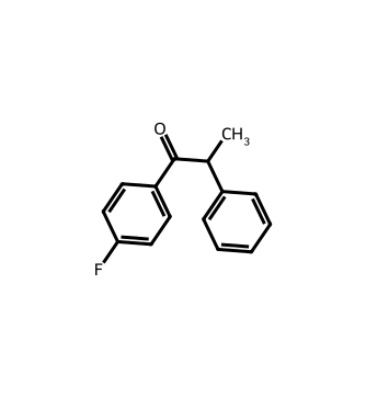 CC(C(=O)c1ccc(F)cc1)c1ccccc1